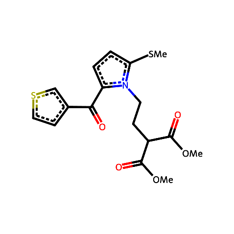 COC(=O)C(CCn1c(SC)ccc1C(=O)c1ccsc1)C(=O)OC